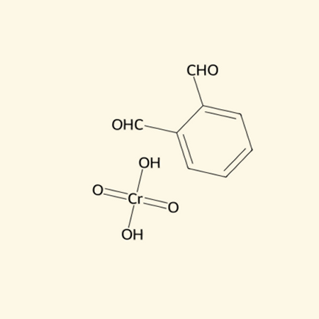 O=Cc1ccccc1C=O.[O]=[Cr](=[O])([OH])[OH]